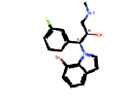 CNC[C@@H](O)[C@H](C1=CC(F)=CCC1)n1ccc2cccc(Br)c21